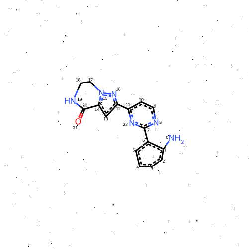 Nc1ccccc1-c1nccc(-c2cc3n(n2)CCNC3=O)n1